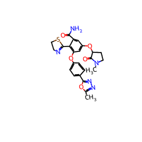 Cc1nnc(-c2ccc(Oc3cc(OC4CCN(C)C4=O)cc(C(N)=O)c3C3=NCCS3)cc2)o1